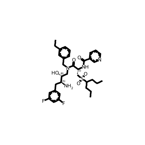 CCCC(CCC)S(=O)(=O)C[C@@H](NC(=O)c1cccnc1)C(=O)N(Cc1cccc(CC)c1)C[C@@H](O)[C@@H](N)Cc1cc(F)cc(F)c1